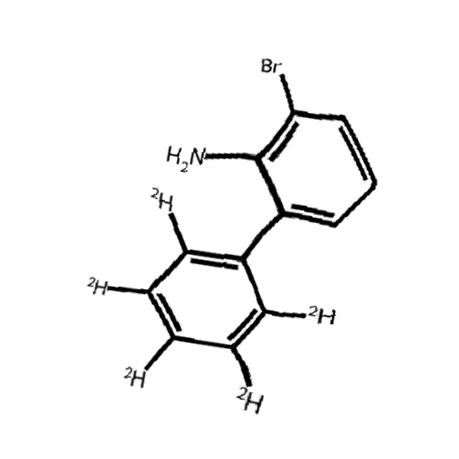 [2H]c1c([2H])c([2H])c(-c2cccc(Br)c2N)c([2H])c1[2H]